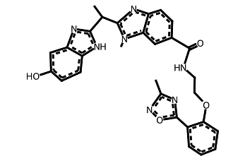 Cc1noc(-c2ccccc2OCCNC(=O)c2ccc3nc(C(C)c4nc5cc(O)ccc5[nH]4)n(C)c3c2)n1